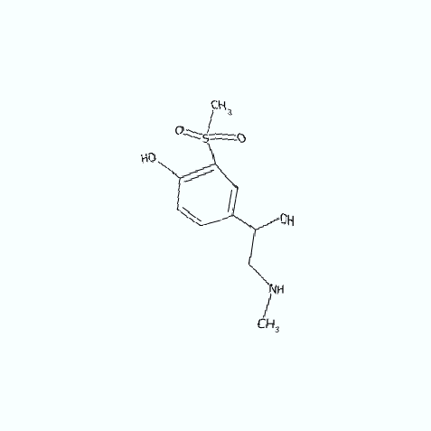 CNCC(O)c1ccc(O)c(S(C)(=O)=O)c1